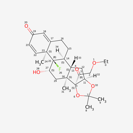 CCOCC(=O)[C@@]12OC(C)(C)O[C@@H]1C[C@H]1[C@@H]3CCC4=CC(=O)C=C[C@]4(C)[C@@]3(F)[C@@H](O)C[C@@]12C